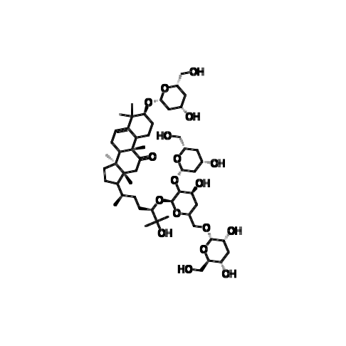 C[C@H](CC[C@@H](O[C@@H]1OC(CO[C@H]2O[C@H](CO)[C@@H](O)C[C@H]2O)C[C@H](O)C1O[C@H]1C[C@@H](O)C[C@@H](CO)O1)C(C)(C)O)C1CC[C@@]2(C)C3CC=C4C(CC[C@H](O[C@H]5C[C@@H](O)C[C@@H](CO)O5)C4(C)C)[C@]3(C)C(=O)C[C@]12C